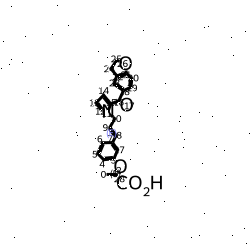 C[C@H](Oc1cccc(/C=C/Cn2cccc2C(=O)c2ccc3c(c2)CCO3)c1)C(=O)O